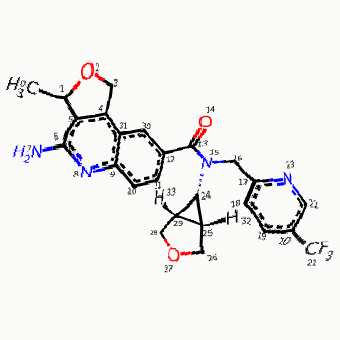 CC1OCc2c1c(N)nc1ccc(C(=O)N(Cc3ccc(C(F)(F)F)cn3)[C@@H]3[C@@H]4COC[C@@H]43)cc21